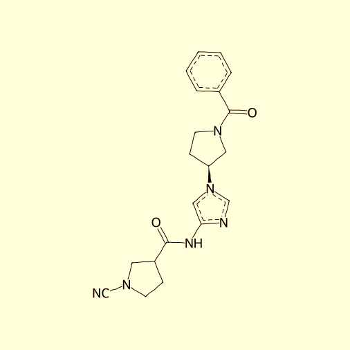 N#CN1CCC(C(=O)Nc2cn([C@H]3CCN(C(=O)c4ccccc4)C3)cn2)C1